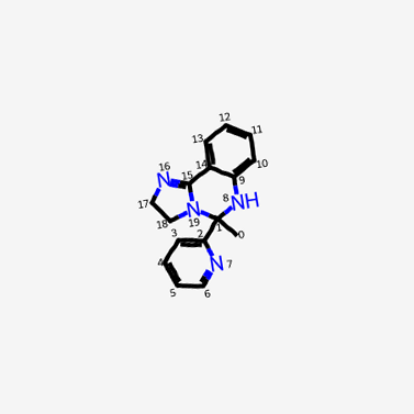 CC1(c2ccccn2)Nc2ccccc2C2=NCCN21